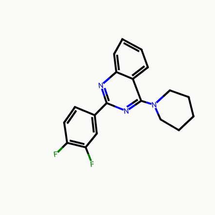 Fc1ccc(-c2nc(N3CCCCC3)c3ccccc3n2)cc1F